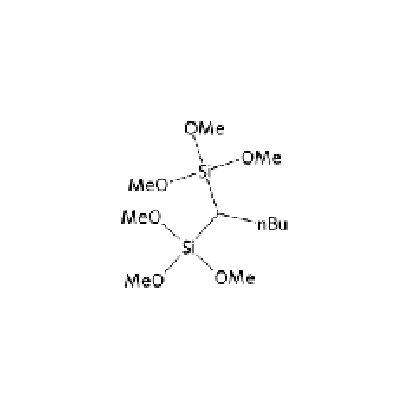 CCCCC([Si](OC)(OC)OC)[Si](OC)(OC)OC